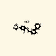 Cl.Fc1cc(-n2cnnn2)ccc1OCc1cccc(C2CCNCC2)n1